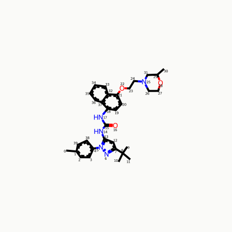 Cc1ccc(-n2nc(C(C)(C)C)cc2NC(=O)Nc2ccc(OCCN3CCOC(C)C3)c3ccccc23)cc1